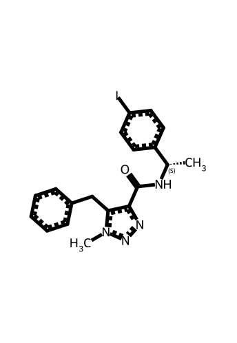 C[C@H](NC(=O)c1nnn(C)c1Cc1ccccc1)c1ccc(I)cc1